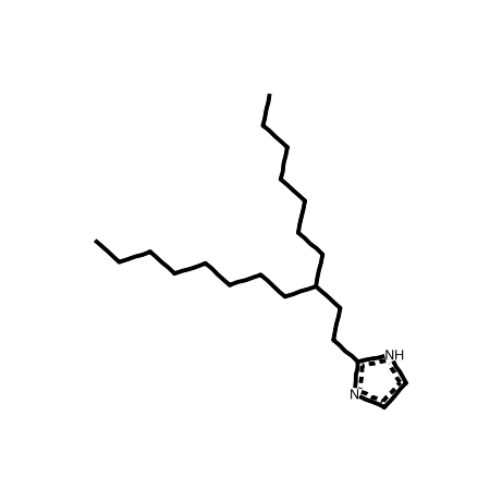 CCCCCCCCC(CCCCCCC)CCc1ncc[nH]1